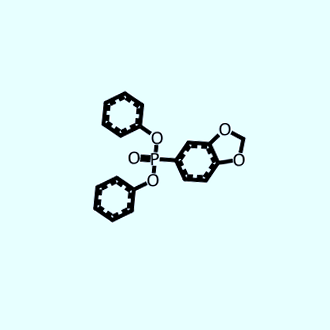 O=P(Oc1ccccc1)(Oc1ccccc1)c1ccc2c(c1)OCO2